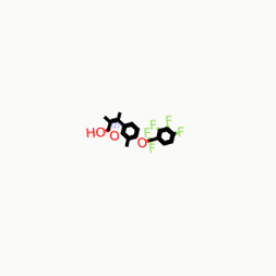 C/C(C(=O)O)=C(\C)c1ccc(OC(F)(F)c2ccc(F)c(F)c2F)c(C)c1